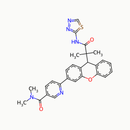 CN(C)C(=O)c1ccc(-c2ccc3c(c2)Oc2ccccc2C3C(C)(C)C(=O)Nc2nncs2)nc1